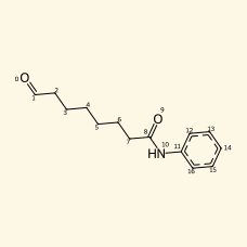 O=CCCCCCCC(=O)Nc1ccccc1